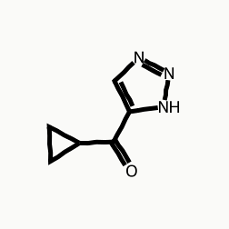 O=C(c1cnn[nH]1)C1CC1